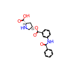 O=C(Nc1cccc(C(=O)O[C@@H]2CN[C@H](C(=O)O)C2)c1)c1ccccc1